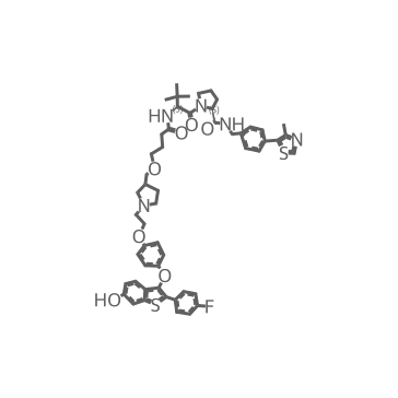 Cc1ncsc1-c1ccc(CNC(=O)[C@@H]2CCCN2C(=O)[C@@H](NC(=O)CCCOCC2CCN(CCOc3ccc(Oc4c(-c5ccc(F)cc5)sc5cc(O)ccc45)cc3)C2)C(C)(C)C)cc1